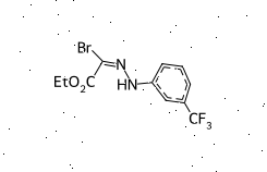 CCOC(=O)/C(Br)=N\Nc1cccc(C(F)(F)F)c1